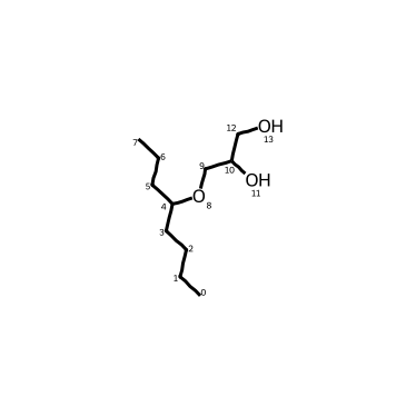 CCCCC(CCC)OCC(O)CO